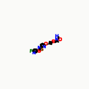 CC(=O)N[C@@H](C)CO[C@H]1C[C@H](COc2ccc3nc(Oc4ccc(F)nc4)sc3n2)C1